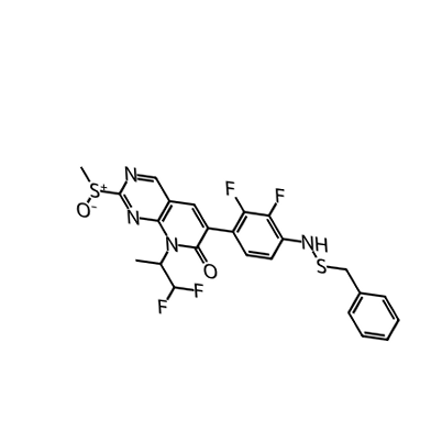 CC(C(F)F)n1c(=O)c(-c2ccc(NSCc3ccccc3)c(F)c2F)cc2cnc([S+](C)[O-])nc21